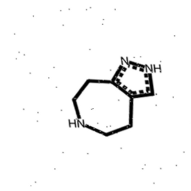 [c]1[nH]nc2c1CCNCC2